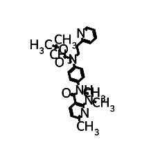 Cc1ccc(C(=O)Nc2ccc(N(CCc3ccccn3)C(=O)OC(C)(C)C)cc2)c(N(C)C)n1